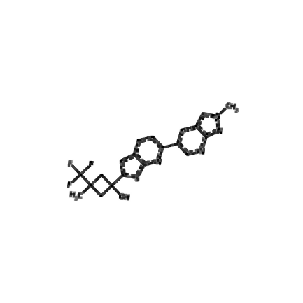 Cn1cc2cc(-c3ccc4cc(C5(O)CC(C)(C(F)(F)F)C5)sc4n3)cnc2n1